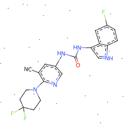 N#Cc1cc(NC(=O)Nc2c[nH]c3ccc(F)cc23)cnc1N1CCC(F)(F)CC1